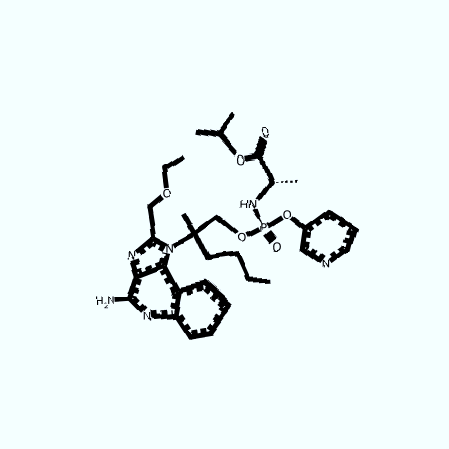 CCCCC(C)(CO[P@](=O)(N[C@@H](C)C(=O)OC(C)C)Oc1cccnc1)n1c(COCC)nc2c(N)nc3ccccc3c21